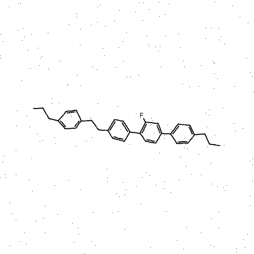 CCCc1ccc(CCc2ccc(-c3ccc(-c4ccc(CCC)cc4)cc3F)cc2)cc1